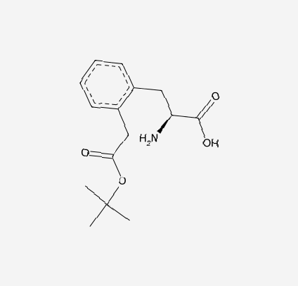 CC(C)(C)OC(=O)Cc1ccccc1C[C@H](N)C(=O)O